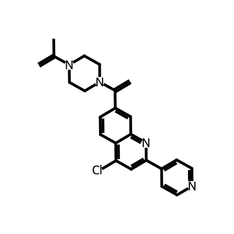 C=C(C)N1CCN(C(=C)c2ccc3c(Cl)cc(-c4ccncc4)nc3c2)CC1